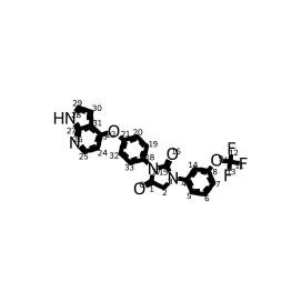 O=C1CN(c2cccc(OC(F)(F)F)c2)C(=O)N1c1ccc(Oc2ccnc3[nH]ccc23)cc1